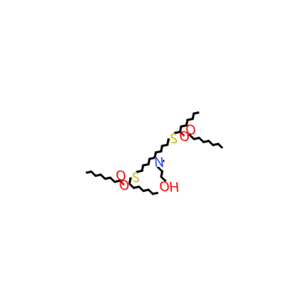 CCCCCCCC(=O)OC(CCCCCC)CSCCCCCC(CCCCCSCC(CCCCCC)OC(=O)CCCCCCC)N(C)CCCCO